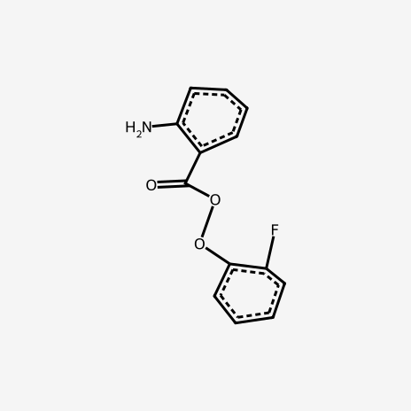 Nc1ccccc1C(=O)OOc1ccccc1F